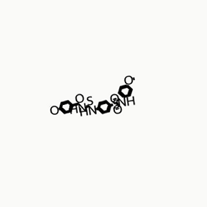 COc1ccc(NS(=O)(=O)c2ccc(NC(=S)NC(=O)c3ccc(OC)cc3)cc2)cc1